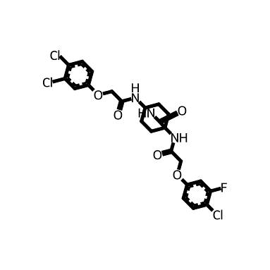 O=C(COc1ccc(Cl)c(Cl)c1)NC12CCC(NC(=O)COc3ccc(Cl)c(F)c3)(CC1)C(=O)N2